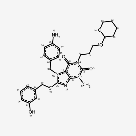 Cn1c(=O)n(CCCOC2CCCCO2)c(=O)c2c1nc(SCc1cccc(O)c1)n2Cc1ccc(N)cc1